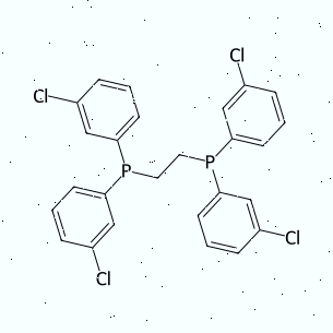 Clc1cccc(P(CCP(c2cccc(Cl)c2)c2cccc(Cl)c2)c2cccc(Cl)c2)c1